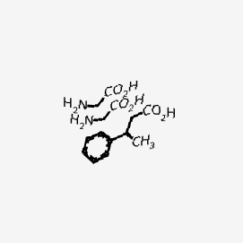 CC(CC(=O)O)c1ccccc1.NCC(=O)O.NCC(=O)O